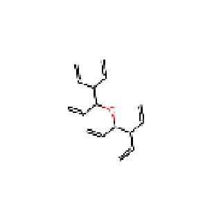 C=CC(C=C)C(C=C)OC(C=C)C(C=C)C=C